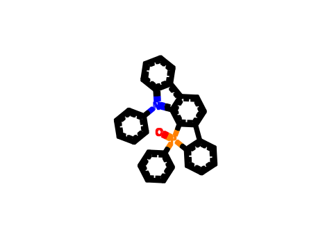 O=P1(c2ccccc2)c2ccccc2-c2ccc3c4ccccc4n(-c4ccccc4)c3c21